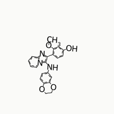 COc1cc(O)ccc1-c1nc2ccccn2c1Nc1ccc2c(c1)OCCO2